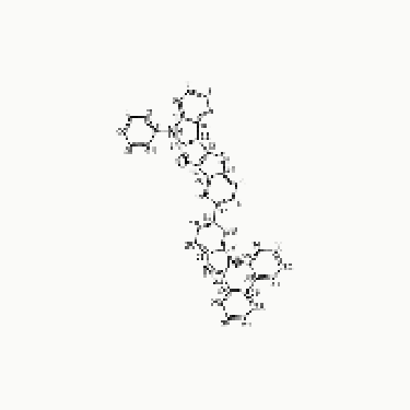 c1ccc(-n2c3ccccc3c3c4sc5ccc(-c6ccc7nc8c9ccccc9c9ccccc9n8c7c6)cc5c4oc32)cc1